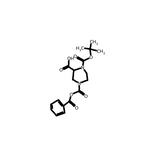 CC(C)(C)OC(=O)N1CCN(C(=O)OC(=O)c2ccccc2)CC1C(=O)O